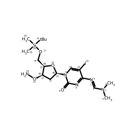 CN(C)/C=N/c1nc(=O)n([C@H]2C[C@@H](ON)[C@@H](CO[Si](C)(C)C(C)(C)C)O2)cc1I